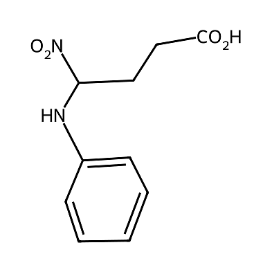 O=C(O)CCC(Nc1ccccc1)[N+](=O)[O-]